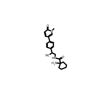 Cn1cc(-c2ccc(C(C#N)CNC(=O)C3(N)CCCCC3)cc2)ccc1=O